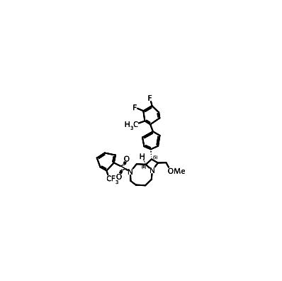 COCC1[C@@H](c2ccc(-c3ccc(F)c(F)c3C)cc2)[C@@H]2CN(S(=O)(=O)c3ccccc3C(F)(F)F)CCCCN12